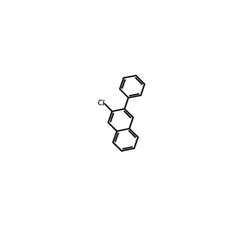 Clc1cc2ccccc2cc1-c1ccccc1